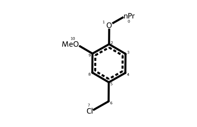 CCCOc1ccc(CCl)cc1OC